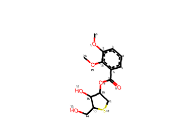 COc1cccc(C(=O)OC2CSC(CO)C2O)c1OC